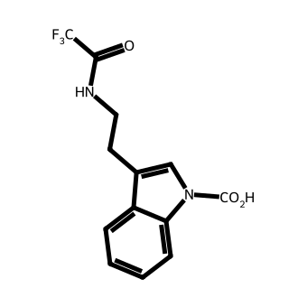 O=C(O)n1cc(CCNC(=O)C(F)(F)F)c2ccccc21